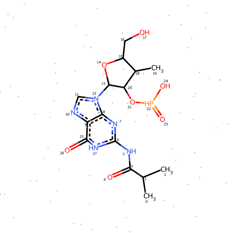 CC(C)C(=O)Nc1nc2c(ncn2C2OC(CO)C(C)C2O[PH](=O)O)c(=O)[nH]1